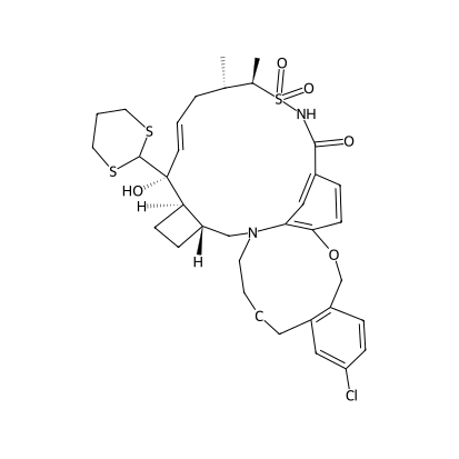 C[C@@H]1[C@@H](C)C/C=C/[C@](O)(C2SCCCS2)[C@@H]2CC[C@H]2CN2CCCCc3cc(Cl)ccc3COc3ccc(cc32)C(=O)NS1(=O)=O